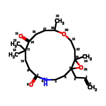 C=CCC12CCNC(=O)CCC(C)(C)C(=O)CCC(C)OCCC1(C)O2